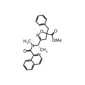 COC(=O)C1(Cc2ccccc2)CC([C@H](C)N(C)C(=O)c2nccc3ccccc23)=NO1